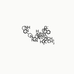 CCc1c(NCC(NC(=O)Nc2ccccc2[N+](=O)[O-])C(=O)OC(C)(C)C)ncnc1N1CCC(c2ccc3c(n2)NCCC3)CC1